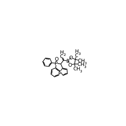 C=C(B1OC(C)(C)C(C)(C)O1)C(c1cccs1)P(=O)(c1ccccc1)c1ccccc1